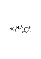 C=C(C#N)/N=C/C(=C)c1cc(F)c(C)cc1F